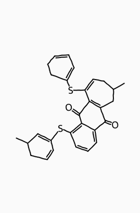 CC1C=C(Sc2cccc3c2C(=O)C2=C(CC(C)CC=C2SC2=CC=CCC2)C3=O)C=CC1